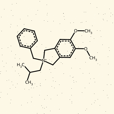 COc1cc2c(cc1OC)C[N+](Cc1ccccc1)(CC(C)C)C2